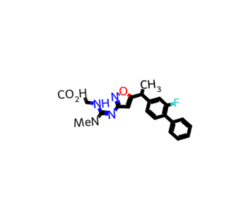 CNC(=Nc1cc(C(C)c2ccc(-c3ccccc3)c(F)c2)on1)NCC(=O)O